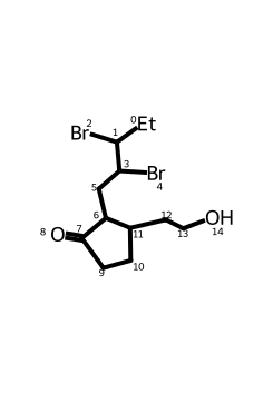 CCC(Br)C(Br)CC1C(=O)CCC1CCO